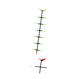 CCC(C)(C)C(=O)OC(F)(F)C(F)(F)C(F)(F)C(F)(F)C(F)(F)C(F)(F)C(F)F